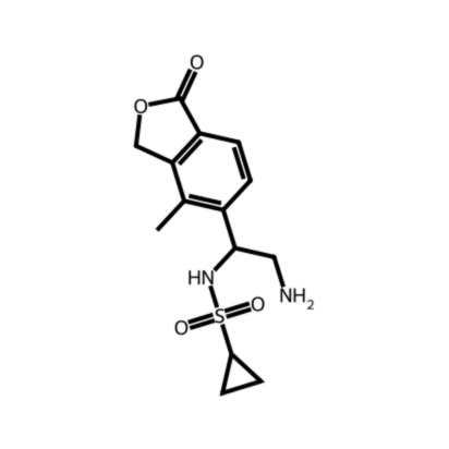 Cc1c(C(CN)NS(=O)(=O)C2CC2)ccc2c1COC2=O